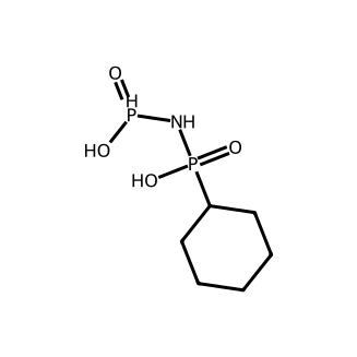 O=[PH](O)NP(=O)(O)C1CCCCC1